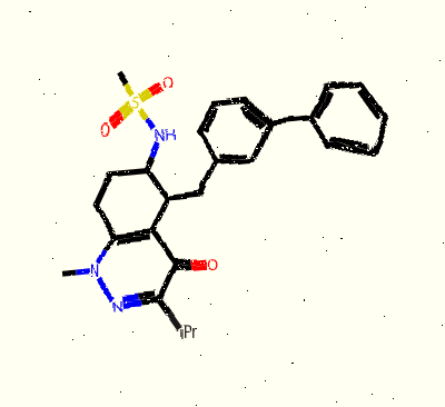 CC(C)c1nn(C)c2c(c1=O)C(Cc1cccc(-c3ccccc3)c1)C(NS(C)(=O)=O)CC2